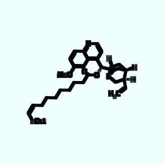 C=C[C@H]1CN2CC[C@H]1C[C@H]2[C@H](OC(=O)CCCCCCC/C=C\CCCCCCCC)c1ccnc2ccc(OC)cc12